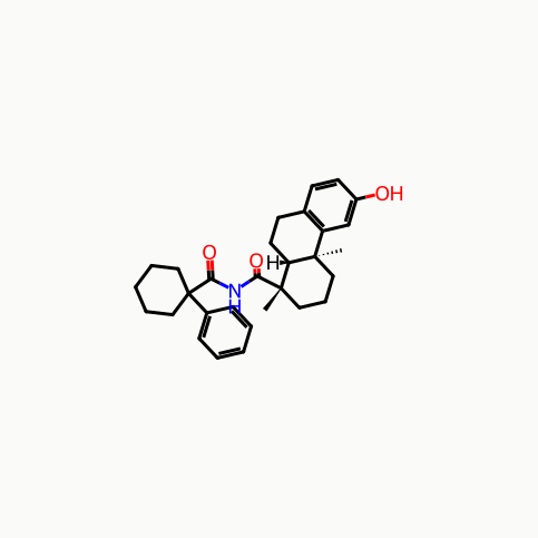 C[C@]1(C(=O)NC(=O)C2(c3ccccc3)CCCCC2)CCC[C@]2(C)c3cc(O)ccc3CC[C@@H]12